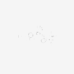 C[C@H]1OCC[C@@H]1S(=O)(=O)Cc1cccc(Nc2sc(-c3c(F)cc(C(C)(C)O)cc3F)cc2C(N)=O)n1